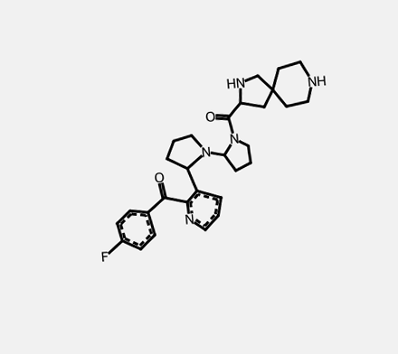 O=C(c1ccc(F)cc1)c1ncccc1C1CCCN1C1CCCN1C(=O)C1CC2(CCNCC2)CN1